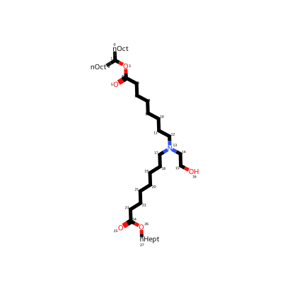 CCCCCCCCC(CCCCCCCC)OC(=O)CCCCCCCN(CCO)CCCCCCCC(=O)OCCCCCCC